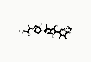 Cc1c(-c2[nH]c3sc([C@@H]4CC5C[C@H]4CN5[C@H](C)C(N)=O)c(C)c3c2C(C)C)cn2ncnc2c1C